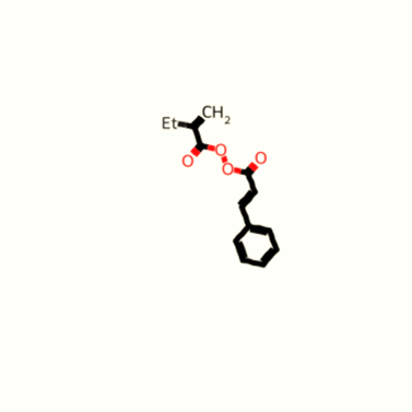 C=C(CC)C(=O)OOC(=O)C=Cc1ccccc1